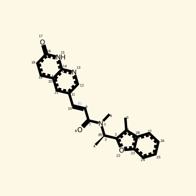 Cc1c([C@@H](C)N(C)C(=O)/C=C/c2cnc3[nH]c(=O)ccc3c2)oc2ccccc12